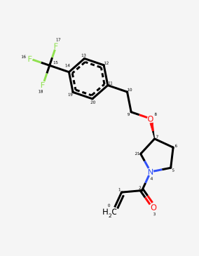 C=CC(=O)N1CC[C@H](OCCc2ccc(C(F)(F)F)cc2)C1